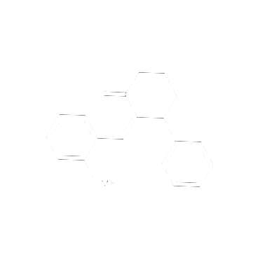 COc1ccccc1/C=C1\C(=O)CCCC1c1ccccc1